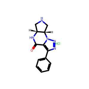 Cl.O=C1N[C@@H]2CNC[C@@H]2n2nnc(-c3ccccc3)c21